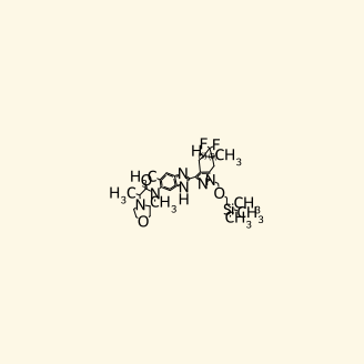 Cc1cc2nc(-c3nn(COCC[Si](C)(C)C)c4c3C[C@@H]3C(F)(F)[C@]3(C)C4)[nH]c2cc1N(C)C(=O)C(C)N1CCOCC1